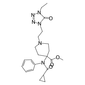 CCn1nnn(CCN2CCC(C(=O)OC)(N(C(=O)C3CC3)c3ccccc3)CC2)c1=O